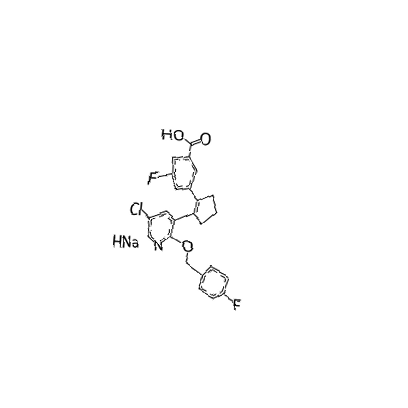 O=C(O)c1cc(F)cc(C2=C(c3cc(Cl)cnc3OCc3ccc(F)cc3)CCC2)c1.[NaH]